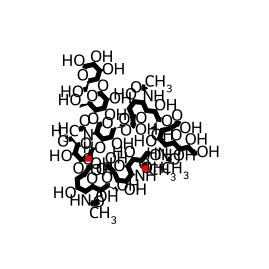 CC(=O)N[C@H]1[C@H](O[C@@H]2[C@H](O)[C@@H](O)[C@H](O[C@H]3[C@H](O)[C@@H](O)[C@H](O)O[C@@H]3CO)O[C@@H]2CO)O[C@H](CO[C@]2(C(=O)O)C[C@H](O)[C@@H](NC(C)=O)[C@H]([C@H](O)[C@@H](CO)O[C@]3(C(=O)O)C[C@H](O)[C@@H](NC(C)=O)[C@H]([C@H](O)[C@H](O)CO)O3)O2)[C@H](O)[C@@H]1O[C@@H]1O[C@H](CO)[C@H](O)[C@H](O[C@]2(C(=O)O)C[C@H](O)[C@@H](NC(C)=O)[C@H]([C@H](O)[C@@H](CO)O[C@]3(C(=O)O)C[C@H](O)[C@@H](NC(C)=O)[C@H]([C@H](O)[C@H](O)CO)O3)O2)[C@H]1O